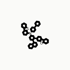 c1ccc(-c2ccc(N(c3ccc(-c4cccc5ccccc45)c(-c4ccc5c(c4)oc4ccccc45)c3)c3cccc4c3sc3ccccc34)cc2)cc1